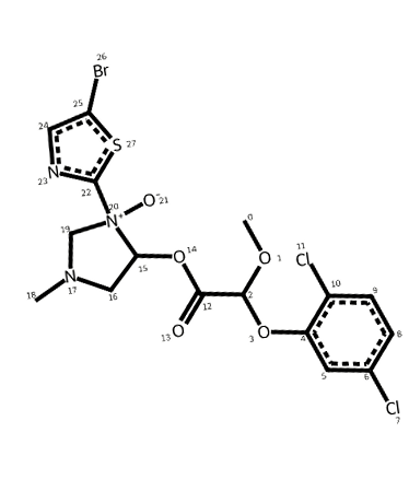 COC(Oc1cc(Cl)ccc1Cl)C(=O)OC1CN(C)C[N+]1([O-])c1ncc(Br)s1